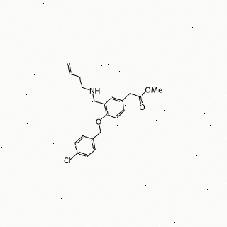 C=CCCNCc1cc(CC(=O)OC)ccc1OCc1ccc(Cl)cc1